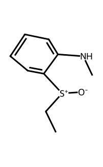 CC[S+]([O-])c1ccccc1NC